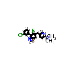 CN(C)c1ccc(Cc2cc3scnc3c(-c3cccc(Cl)c3)c2F)cn1